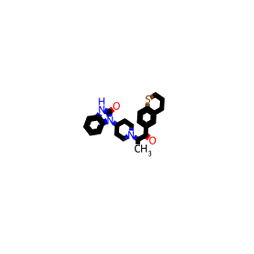 CC(C(=O)c1ccc2c(c1)CCCS2)N1CCC(n2c(=O)[nH]c3ccccc32)CC1